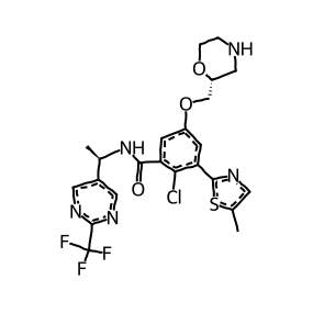 Cc1cnc(-c2cc(OC[C@H]3CNCCO3)cc(C(=O)N[C@H](C)c3cnc(C(F)(F)F)nc3)c2Cl)s1